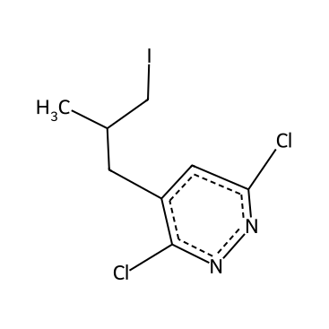 CC(CI)Cc1cc(Cl)nnc1Cl